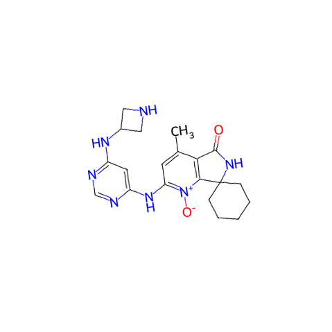 Cc1cc(Nc2cc(NC3CNC3)ncn2)[n+]([O-])c2c1C(=O)NC21CCCCC1